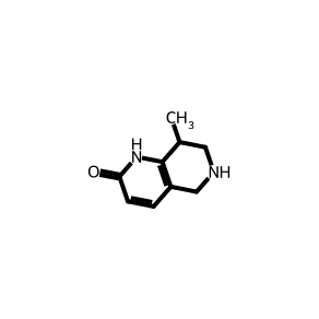 CC1CNCc2ccc(=O)[nH]c21